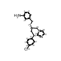 Nc1cccc(CSC(CCc2ccc(Cl)cc2)Cn2ccnc2)c1